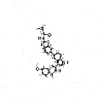 COc1ccc(C(C)NC(=O)c2c[nH]c3ccc(-c4ccc5nc(NC(=O)C6CC6)sc5c4)cc23)cc1